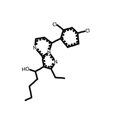 CCCCC(O)c1c(CC)nn2c(-c3ccc(Cl)cc3Cl)ccnc12